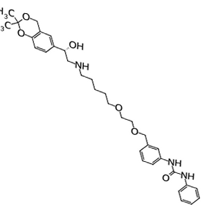 CC1(C)OCc2cc([C@H](O)CNCCCCCOCCOCc3cccc(NC(=O)Nc4ccccc4)c3)ccc2O1